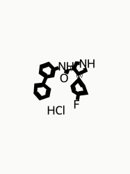 Cl.O=C(Nc1cccc(-c2ccccc2)c1)[C@H]1CNC[C@@H]1c1ccc(F)cc1